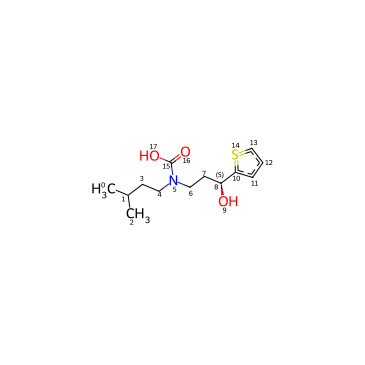 CC(C)CCN(CC[C@H](O)c1cccs1)C(=O)O